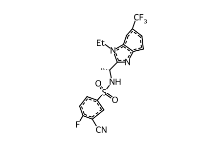 CCn1c([C@@H](C)NS(=O)(=O)c2ccc(F)c(C#N)c2)nc2ccc(C(F)(F)F)cc21